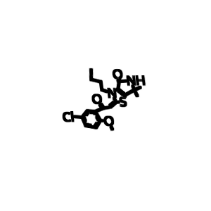 CCCCN1C(=CC(=O)c2cc(Cl)ccc2OC)SC2=C1C(=O)NC2(C)C